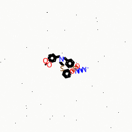 [N-]=[N+]=NS(=O)(=O)c1ccc(CN(CCSc2ccccc2)Cc2ccc3c(c2)OCO3)cc1